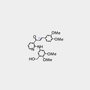 COc1ccc(/C=C/C(=O)c2cccnc2Nc2cc(CO)c(OC)c(OC)c2)cc1OC